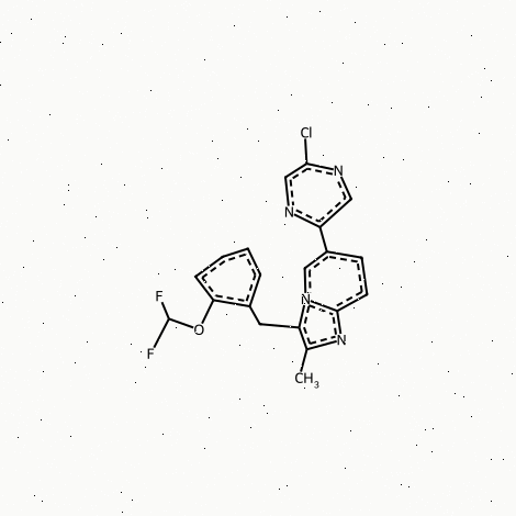 Cc1nc2ccc(-c3cnc(Cl)cn3)cn2c1Cc1ccccc1OC(F)F